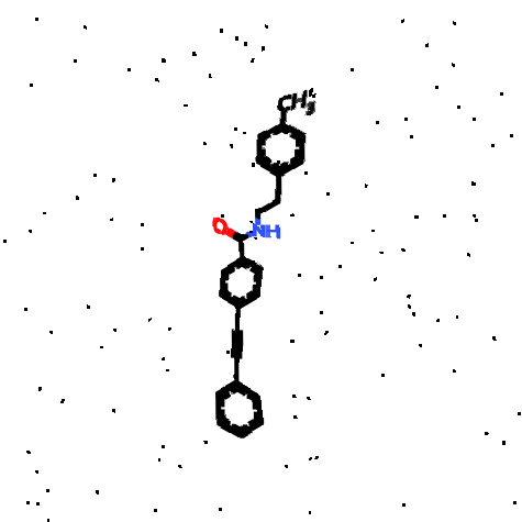 Cc1ccc(CCNC(=O)c2ccc(C#Cc3ccccc3)cc2)cc1